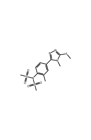 CSc1nnc(-c2ccc(N(S(C)(=O)=O)S(C)(=O)=O)c(C)c2)n1C